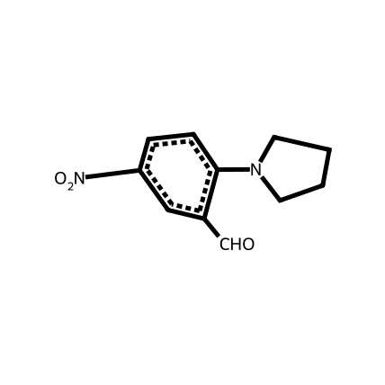 O=Cc1cc([N+](=O)[O-])ccc1N1CCCC1